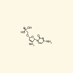 N.Nc1ccn(C2C=CC(OCP(=O)(O)O)O2)c(=O)n1